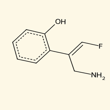 NCC(=CF)c1ccccc1O